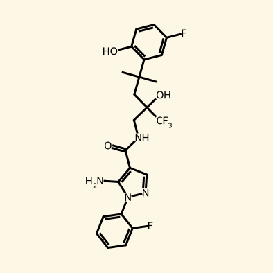 CC(C)(CC(O)(CNC(=O)c1cnn(-c2ccccc2F)c1N)C(F)(F)F)c1cc(F)ccc1O